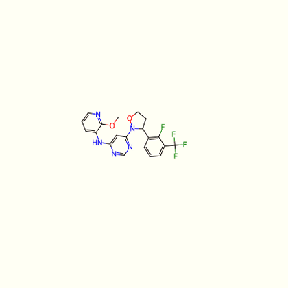 COc1ncccc1Nc1cc(N2OCCC2c2cccc(C(F)(F)F)c2F)ncn1